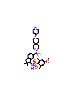 COc1cc(C)c(S(=O)(=O)NC2c3cc(C(=O)N4CCC5(CC4)CCN(c4ccncc4)CC5)ccc3CC2(C)C)c(C)c1